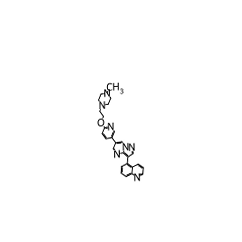 CN1CCN(CCOc2ccc(-c3cnc4c(-c5cccc6ncccc56)cnn4c3)cn2)CC1